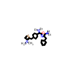 CCN(CC)c1oc(C(C2CCC(Cc3sccc3N(C)C)CC2)N(CC)CC)nc1Cc1ccccc1